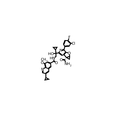 COc1cc(C(=O)NCC(O)(c2cc3c(c(-c4ccc(F)c(Cl)c4)n2)OC2C[C@@]32C(N)=O)C2CC2)cc2cc(C3CC3)cnc12